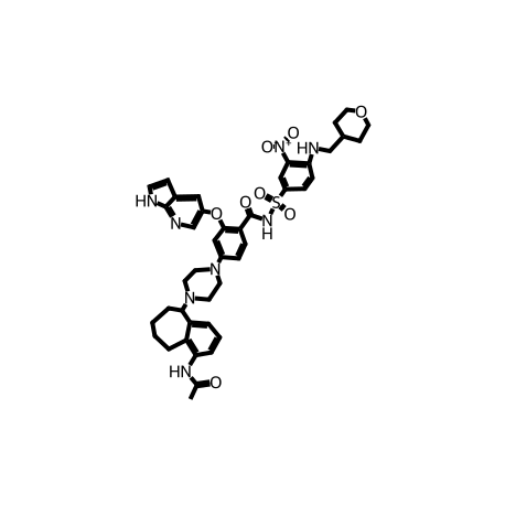 CC(=O)Nc1cccc2c1CCCCC2N1CCN(c2ccc(C(=O)NS(=O)(=O)c3ccc(NCC4CCOCC4)c([N+](=O)[O-])c3)c(Oc3cnc4[nH]ccc4c3)c2)CC1